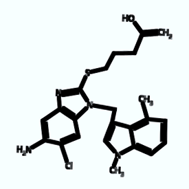 C=C(O)CCCSc1nc2cc(N)c(Cl)cc2n1Cc1cn(C)c2cccc(C)c12